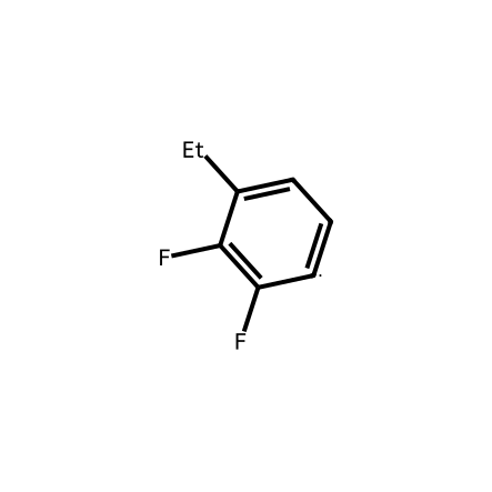 CCc1cc[c]c(F)c1F